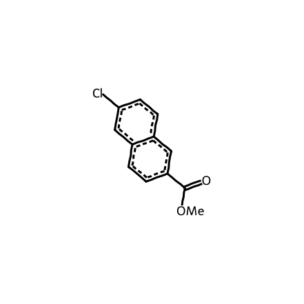 COC(=O)c1ccc2cc(Cl)ccc2c1